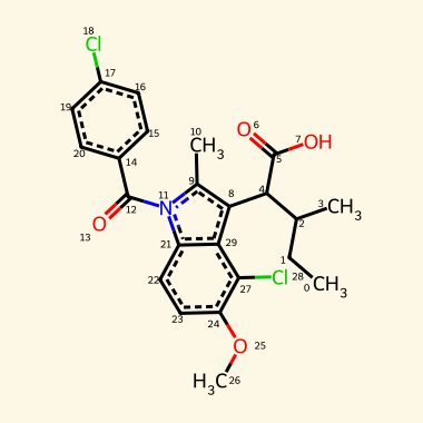 CCC(C)C(C(=O)O)c1c(C)n(C(=O)c2ccc(Cl)cc2)c2ccc(OC)c(Cl)c12